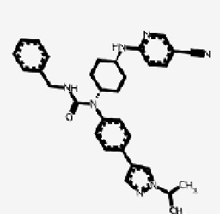 CC(C)n1cc(-c2ccc(N(C(=O)NCc3ccccc3)[C@H]3CC[C@H](Nc4ccc(C#N)cn4)CC3)cc2)cn1